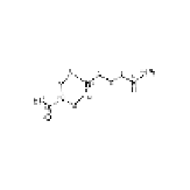 CCC(=O)N1CCN(CCCNC(C)C)CC1